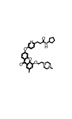 Cc1cc(OCCN2CCN(C)CC2)c2oc3cc(Oc4ccc(CCC(=O)NC5CCCC5)nc4)ccc3c(=O)c2c1